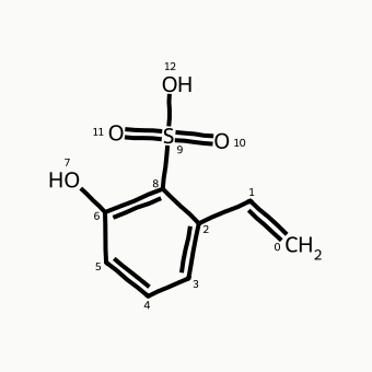 C=Cc1cccc(O)c1S(=O)(=O)O